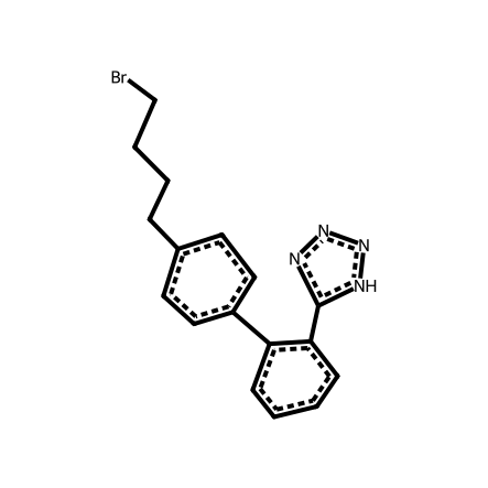 BrCCCCc1ccc(-c2ccccc2-c2nnn[nH]2)cc1